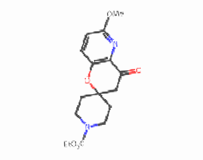 CCOC(=O)N1CCC2(CC1)CC(=O)c1nc(OC)ccc1O2